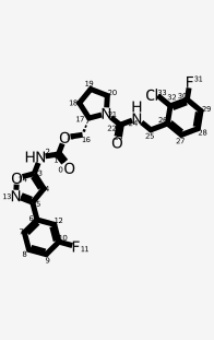 O=C(Nc1cc(-c2cccc(F)c2)no1)OC[C@@H]1CCCN1C(=O)NCc1cccc(F)c1Cl